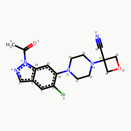 CC(=O)n1ncc2cc(Br)c(N3CCN(C4(C#N)COC4)CC3)cc21